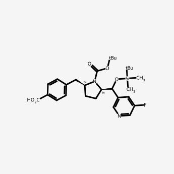 CC(C)(C)OC(=O)N1[C@H](Cc2ccc(C(=O)O)cc2)CC[C@@H]1C(O[Si](C)(C)C(C)(C)C)c1cncc(F)c1